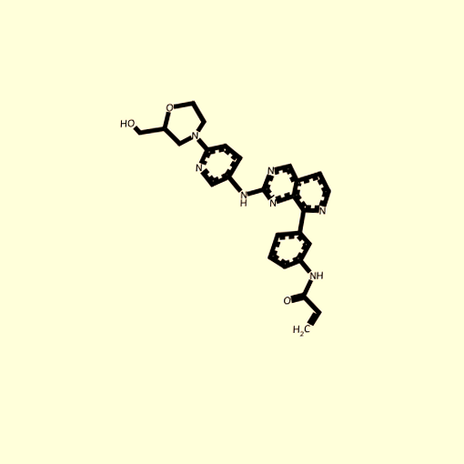 C=CC(=O)Nc1cccc(-c2nccc3cnc(Nc4ccc(N5CCOC(CO)C5)nc4)nc23)c1